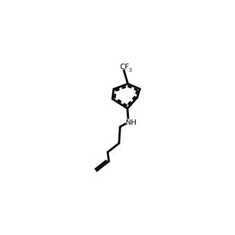 C=CCCCNc1ccc(C(F)(F)F)cc1